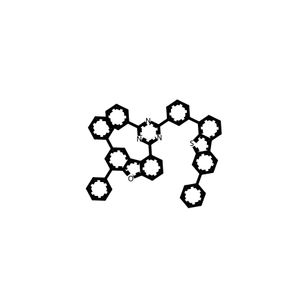 c1ccc(-c2ccc3c(c2)sc2c(-c4cccc(-c5nc(-c6ccccc6)nc(-c6cccc7oc8c(-c9ccccc9)cc(-c9ccccc9)cc8c67)n5)c4)cccc23)cc1